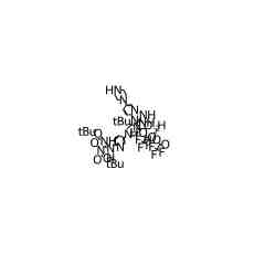 CC(C)(C)OC(=O)N=C(NC(=O)OC(C)(C)C)Nc1ccc(N2CCN(C(=O)O)C(N(C(=N)N)c3ccc(N4CCNCC4)cn3)(C(C)(C)C)C2)cn1.O=C(O)C(F)(F)F.O=C(O)C(F)(F)F